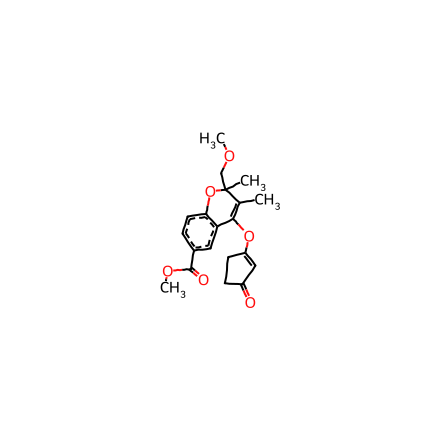 COCC1(C)Oc2ccc(C(=O)OC)cc2C(OC2=CC(=O)CC2)=C1C